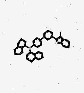 Cc1c(-c2cccc(-c3ccc(N(c4cccc5ccccc45)c4cccc5ccccc45)cc3)c2)oc2ccccc12